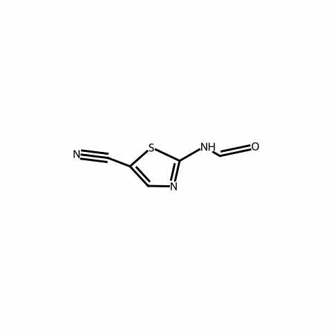 N#Cc1cnc(NC=O)s1